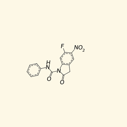 O=C1Cc2cc([N+](=O)[O-])c(F)cc2N1C(=O)Nc1ccccc1